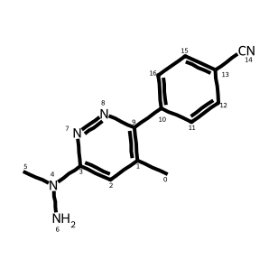 Cc1cc(N(C)N)nnc1-c1ccc(C#N)cc1